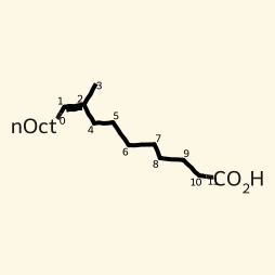 CCCCCCCC/C=C(/C)CCCCCCCC(=O)O